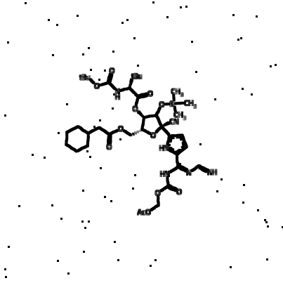 CC(=O)OCOC(=O)N/C(=N/C=N)c1ccc([C@]2(C#N)O[C@H](COC(=O)CC3CCCCC3)[C@@H](OC(=O)[C@@H](NC(=O)OC(C)(C)C)C(C)(C)C)C2O[Si](C)(C)C)[nH]1